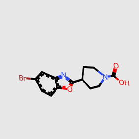 O=C(O)N1CCC(c2nc3cc(Br)ccc3o2)CC1